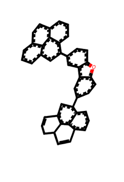 C1=Cc2cc(-c3ccc4oc5ccc(-c6cc7cccc8ccc9cccc6c9c87)cc5c4c3)c3cccc4c3c2C(C=C4)C1